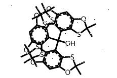 CC1(C)Oc2cc3c(c(C(O)(c4c5c(cc6c4SC(C)(C)O6)OC(C)(C)S5)c4c5c(cc6c4SC(C)(C)O6)OC(C)(C)S5)c2S1)SC(C)(C)O3